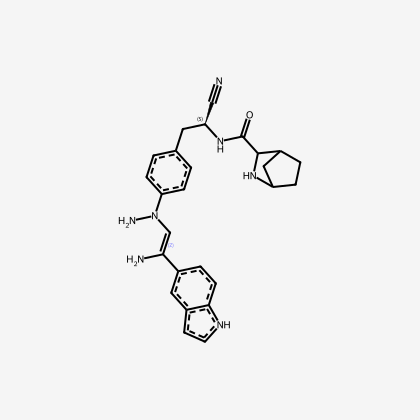 N#C[C@H](Cc1ccc(N(N)/C=C(\N)c2ccc3[nH]ccc3c2)cc1)NC(=O)C1NC2CCC1C2